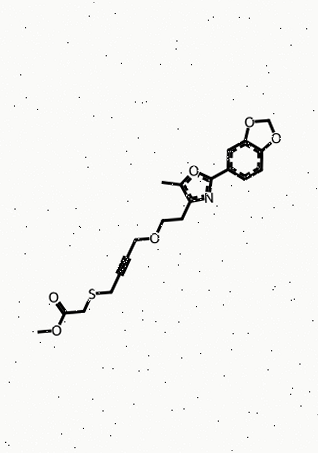 COC(=O)CSCC#CCOCCc1nc(-c2ccc3c(c2)OCO3)oc1C